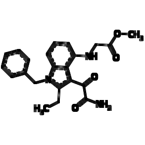 CCc1c(C(=O)C(N)=O)c2c(NCC(=O)OC)cccc2n1Cc1ccccc1